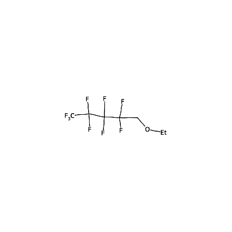 [CH2]COCC(F)(F)C(F)(F)C(F)(F)C(F)(F)F